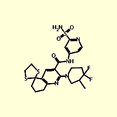 CC1CN(c2nc3c(cc2C(=O)Nc2ccnc(S(N)(=O)=O)c2)C2(CCC3)SCCS2)CCC1(F)F